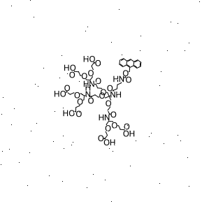 O=C(O)CCOCC(COCCC(=O)O)NC(=O)CCOCC(COCCC(=O)NC(COCCC(=O)O)COCCC(=O)O)(COCCC(=O)NC(COCCC(=O)O)COCCC(=O)O)NC(=O)CCCNC(=O)OCc1c2ccccc2cc2ccccc12